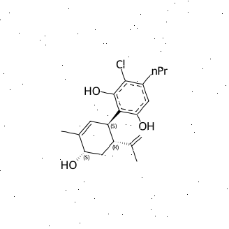 C=C(C)[C@@H]1C[C@H](O)C(C)=C[C@H]1c1c(O)cc(CCC)c(Cl)c1O